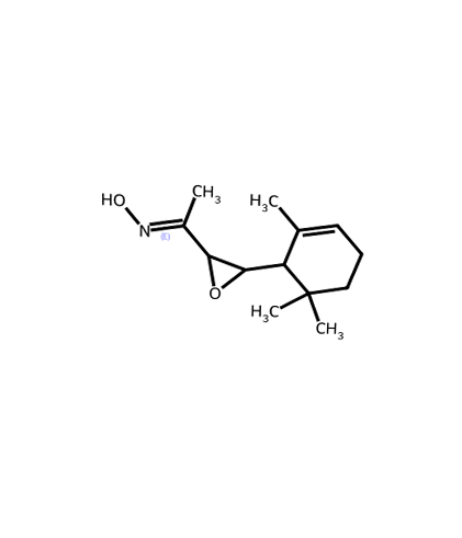 CC1=CCCC(C)(C)C1C1OC1/C(C)=N/O